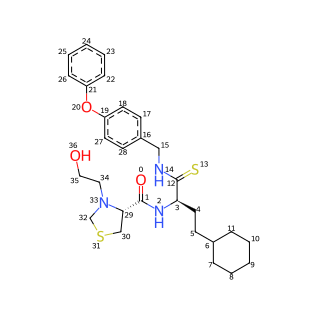 O=C(N[C@H](CCC1CCCCC1)C(=S)NCc1ccc(Oc2ccccc2)cc1)[C@@H]1CSCN1CCO